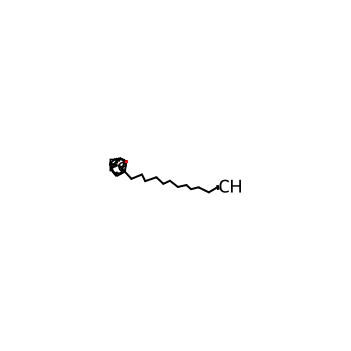 C#CCCCCCCCCCCC[C]12[CH]3[CH]4[CH]5[CH]1[Fe]45321678[CH]2[CH]1[CH]6[CH]7[CH]28